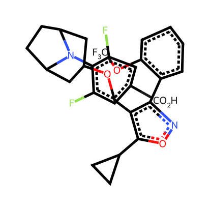 O=C(O)c1cc(F)c(N2C3CCC2CC(OCc2c(-c4ccccc4OC(F)(F)F)noc2C2CC2)C3)c(F)c1